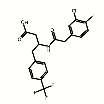 O=C(O)CC(Cc1ccc(C(F)(F)F)cc1)NC(=O)Cc1ccc(I)c(Cl)c1